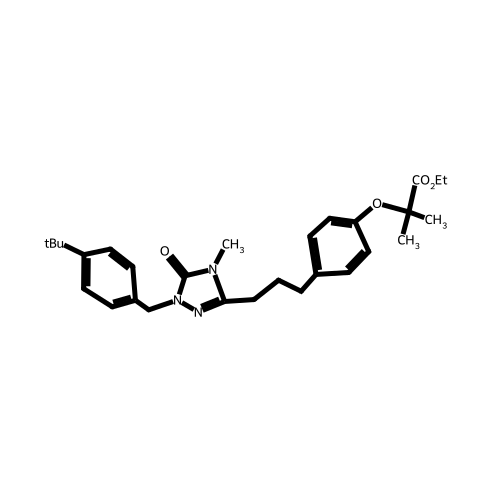 CCOC(=O)C(C)(C)Oc1ccc(CCCc2nn(Cc3ccc(C(C)(C)C)cc3)c(=O)n2C)cc1